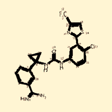 N=C(N)c1cccc(C2(NC(=O)Nc3ccc(Cl)c(-c4nc(C(F)(F)F)cs4)c3)CC2)c1